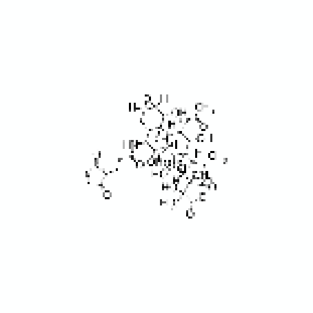 CC(=O)O[C@H]1[C@H]2[C@@H]([C@@H](O)[C@@H](NC(=O)CCN3C(=O)C=CC3=O)C3C[C@@H]4O[C@@H]4[C@H](O)[C@@]32C)[C@@H]2[C@@H](O)[C@@H]3[C@H]([C@H](C)C4O[C@]45OC(=O)[C@@](C)(O)[C@]35C)[C@@]2(C(C)=O)[C@H]1O